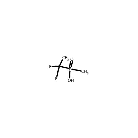 CP(=O)(O)C(F)(F)C(F)(F)F